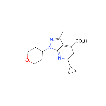 Cc1nn(C2CCOCC2)c2nc(C3CC3)cc(C(=O)O)c12